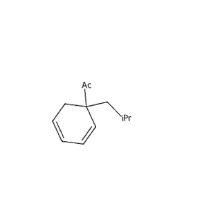 CC(=O)C1(CC(C)C)C=CC=CC1